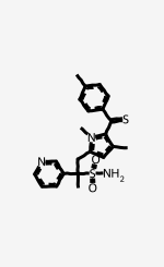 Cc1ccc(C(=S)c2c(C)cc(CC(C)(c3cccnc3)S(N)(=O)=O)n2C)cc1